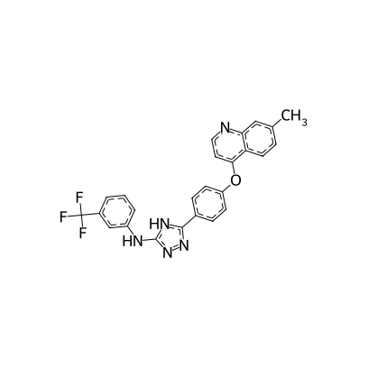 Cc1ccc2c(Oc3ccc(-c4nnc(Nc5cccc(C(F)(F)F)c5)[nH]4)cc3)ccnc2c1